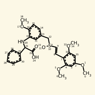 COc1cc(OC)c(/C=C/[S+]([O-])Cc2ccc(OC)c(NC(C(=O)O)c3ccccc3)c2)c(OC)c1